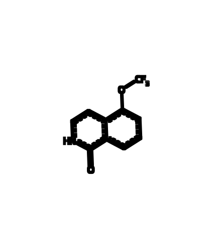 O=c1[nH]ccc2c(OC(F)(F)F)cccc12